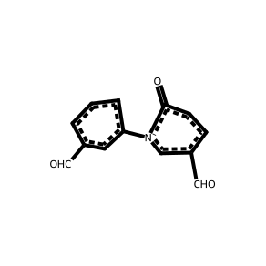 O=Cc1cccc(-n2cc(C=O)ccc2=O)c1